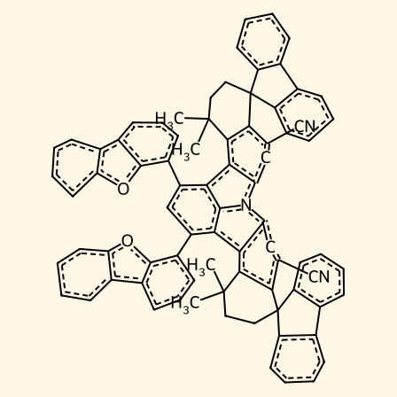 CC1(C)CCC2(c3ccccc3-c3ccccc32)c2c(C#N)cc3c(c21)c1c(-c2cccc4c2oc2ccccc24)cc(-c2cccc4c2oc2ccccc24)c2c4c5c(c(C#N)cc4n3c12)C1(CCC5(C)C)c2ccccc2-c2ccccc21